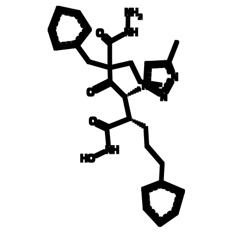 CCCC(Cc1ccccc1)(C(=O)NN)C(=O)[C@@H]([C@H](CCCc1ccccc1)C(=O)NO)n1cc(C)nn1